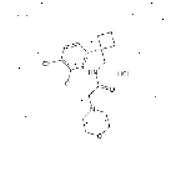 Cl.O=C(CN1CCOCC1)NCC1(c2ccc(Cl)c(Cl)c2)CCC1